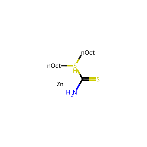 CCCCCCCC[SH](CCCCCCCC)C(N)=S.[Zn]